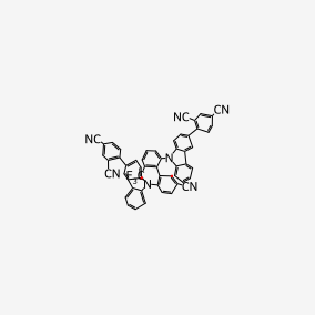 N#Cc1ccc(-c2ccc3c(c2)c2ccccc2n3-c2ccc(C#N)cc2-c2c(-n3c4ccccc4c4cc(-c5ccc(C#N)cc5C#N)ccc43)cccc2C(F)(F)F)c(C#N)c1